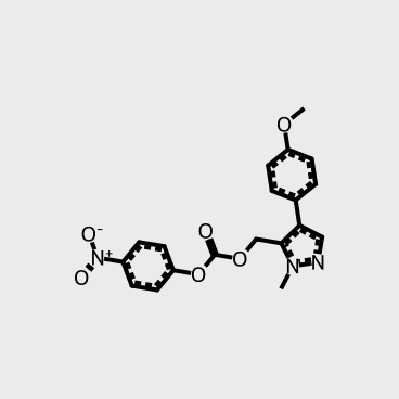 COc1ccc(-c2cnn(C)c2COC(=O)Oc2ccc([N+](=O)[O-])cc2)cc1